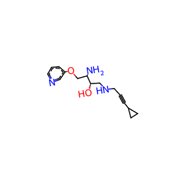 N[C@@H](COc1cccnc1)[C@H](O)CNCC#CC1CC1